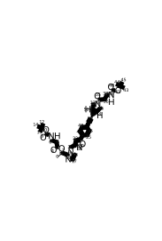 C[C@H](OC(=O)CCNC(=O)OC(C)(C)C)c1nccn1Cc1cc(-c2ccc(C#C[C@@H]3[C@H]4CN(C(=O)CCNC(=O)OC(C)(C)C)C[C@@H]34)cc2)on1